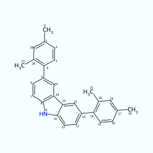 Cc1ccc(-c2ccc3[nH]c4ccc(-c5ccc(C)cc5C)cc4c3c2)c(C)c1